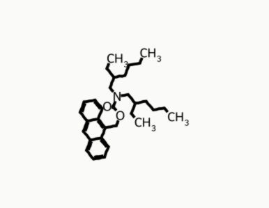 CCCCC(CC)CN(CC(CC)CCCC)C(=O)OCc1c2ccccc2cc2ccccc12